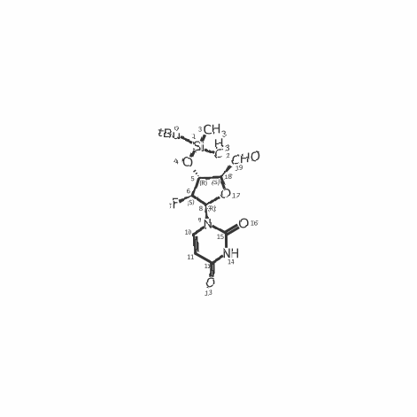 CC(C)(C)[Si](C)(C)O[C@H]1[C@H](F)[C@H](n2ccc(=O)[nH]c2=O)O[C@@H]1C=O